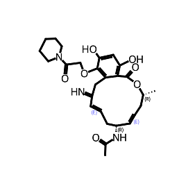 CC(=O)N[C@H]1/C=C/C[C@@H](C)OC(=O)c2c(O)cc(O)c(OCC(=O)N3CCCCC3)c2CC(=N)/C=C/C1